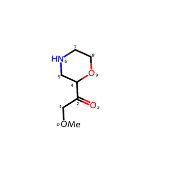 COCC(=O)C1CNCCO1